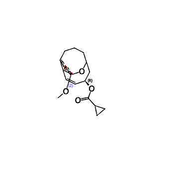 COc1ccc2c3c1OC(CCC2)C[C@@H](OC(=O)C1CC1)/C=C\3